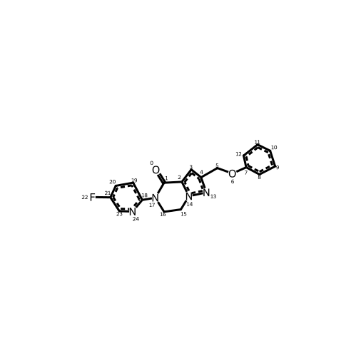 O=C1c2cc(COc3ccccc3)nn2CCN1c1ccc(F)cn1